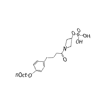 CCCCCCCCOc1ccc(CCCC(=O)N2CC(OP(=O)(O)O)C2)cc1